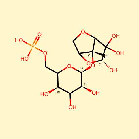 O=P(O)(O)OCC1O[C@@H](O[C@@H]2C3COC2C(O)(O)[C@H](O)O3)[C@@H](O)C(O)[C@H]1O